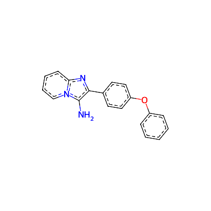 Nc1c(-c2ccc(Oc3ccccc3)cc2)nc2ccccn12